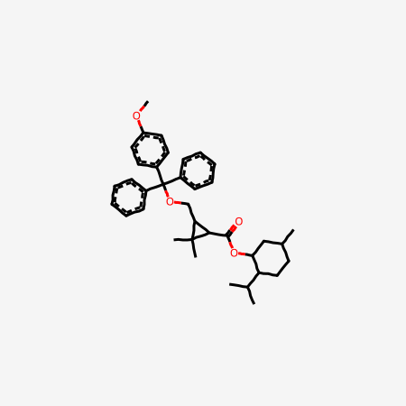 COc1ccc(C(OCC2C(C(=O)OC3CC(C)CCC3C(C)C)C2(C)C)(c2ccccc2)c2ccccc2)cc1